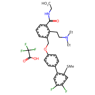 CCN(CC)CCc1c(COc2ccc(-c3cc(F)c(F)cc3SC)cc2)cccc1C(=O)NCC(=O)O.O=C(O)C(F)(F)F